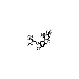 CCO/C(=C\C(=O)O)COc1cc(-n2c(=O)cc(C(F)(F)F)[nH]c2=O)c(F)cc1Cl